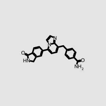 NC(=O)c1ccc(Cc2ccc(-c3ccc4c(c3)CNC4=O)n3ccnc23)cc1